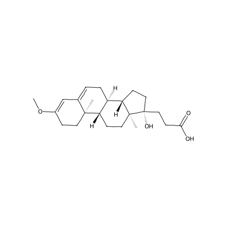 COC1=CC2=CC[C@@H]3[C@H](CC[C@@]4(C)[C@H]3CC[C@@]4(O)CCC(=O)O)[C@@]2(C)CC1